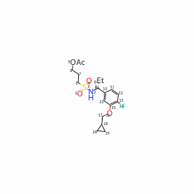 CC[C@@H](NS(=O)(=O)CCCOC(C)=O)c1ccc(F)c(OCC2CC2)c1